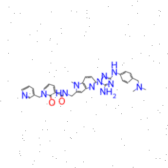 CN(C)Cc1ccc(Nc2nc(N)n(-c3ccc4c(cc(CNC(=O)c5cccn(Cc6cccnc6)c5=O)n4C)n3)n2)cc1